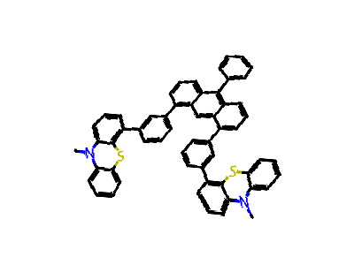 CN1c2ccccc2Sc2c(-c3cccc(-c4cccc5c(-c6ccccc6)c6cccc(-c7cccc(-c8cccc9c8Sc8ccccc8N9C)c7)c6cc45)c3)cccc21